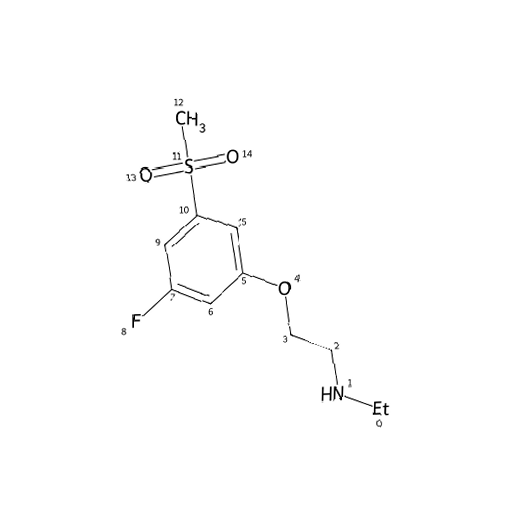 CCNCCOc1cc(F)cc(S(C)(=O)=O)c1